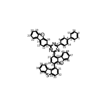 c1ccc(-c2ccc(-c3nc(-c4ccc5c(c4)oc4ccccc45)nc(-c4ccc(-c5cccc6sc7ccccc7c56)c5oc6ccccc6c45)n3)cc2)cc1